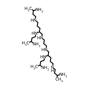 CC(N)CCNCCCC(CNCCCNCC(CCCNCCC(C)N)NCCC(C)N)NCCC(C)N